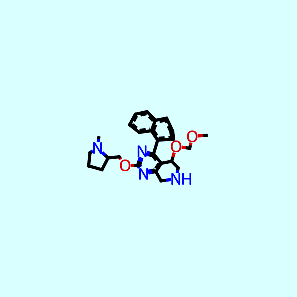 COCOC1CNCc2nc(OCC3CCCN3C)nc(-c3cccc4ccccc34)c21